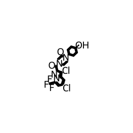 O=C(c1nn2c(C(F)(F)F)cc(Cl)cc2c1Cl)N1CCN([C@H]2CC[C@H](O)CC2)C(=O)C1